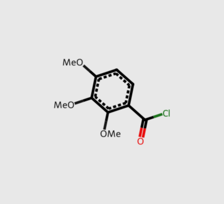 COc1ccc(C(=O)Cl)c(OC)c1OC